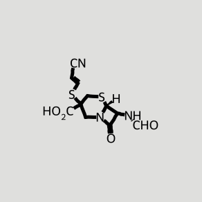 N#CC=CSC1(C(=O)O)CS[C@@H]2C(NC=O)C(=O)N2C1